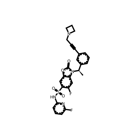 C[C@H](c1cccc(C#CCN2CCC2)c1)n1c(=O)oc2cc(S(=O)(=O)Nc3cccc(F)n3)c(F)cc21